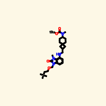 CN(C(=O)OC(C)(C)C)C1CCC2(CC1)CC(CNc1cccc3c1n(C)c(=O)n3COCC[Si](C)(C)C)C2